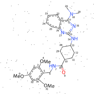 COc1cc(OC)c(CNC(=O)C2CCC(Nc3nc(N(C)C)c4ccccc4n3)CC2)c(OC)c1